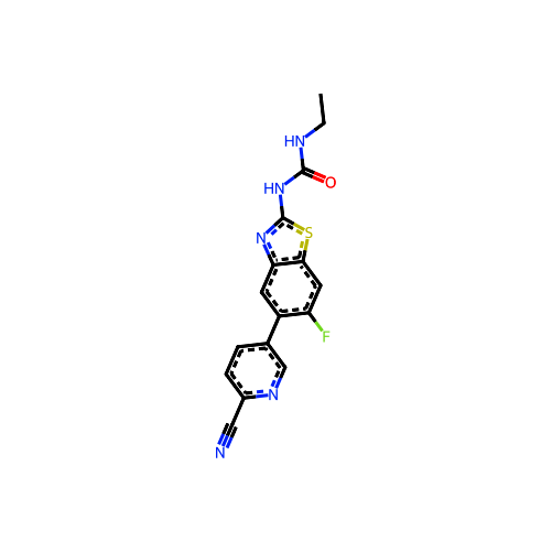 CCNC(=O)Nc1nc2cc(-c3ccc(C#N)nc3)c(F)cc2s1